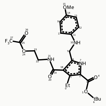 CCc1c(C(=O)OC(C)(C)C)[nH]c(CNc2ccc(OC)cc2)c1C(=O)NCCOC(=O)C(F)(F)F